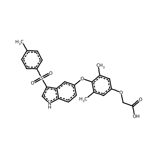 Cc1ccc(S(=O)(=O)c2c[nH]c3ccc(Oc4c(C)cc(OCC(=O)O)cc4C)cc23)cc1